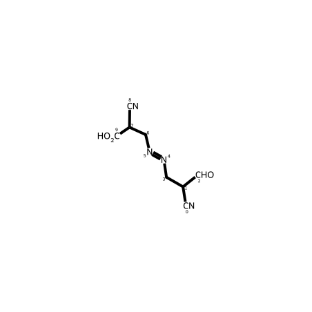 N#CC(C=O)CN=NCC(C#N)C(=O)O